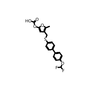 Cc1oc(OC(=O)O)cc1CSc1ccc(-c2ccc(OC(F)F)cc2)cc1